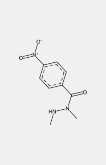 CNN(C)C(=O)c1ccc([N+](=O)[O-])cc1